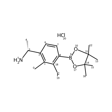 Cc1c([C@@H](C)N)ccc(B2OC(C)(C)C(C)(C)O2)c1F.Cl